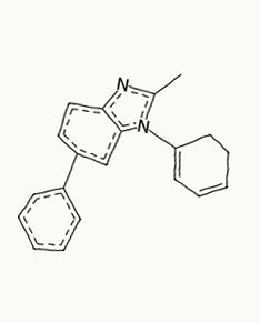 Cc1nc2ccc(-c3ccccc3)cc2n1C1=CC=CCC1